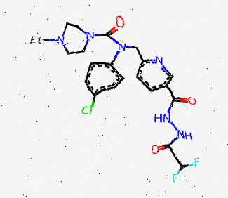 CCN1CCN(C(=O)N(Cc2ccc(C(=O)NNC(=O)C(F)F)cn2)c2ccc(Cl)cc2)CC1